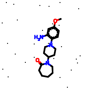 COc1ccc(N2CCC(N3CCCCCC3=O)CC2)c(N)c1